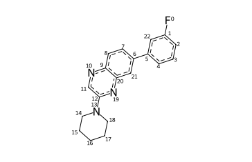 Fc1cccc(-c2ccc3ncc(N4CCCCC4)nc3c2)c1